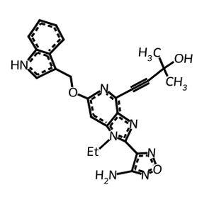 CCn1c(-c2nonc2N)nc2c(C#CC(C)(C)O)nc(OCc3c[nH]c4ccccc34)cc21